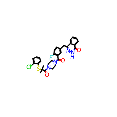 CC(C)(Sc1ccccc1Cl)C(=O)N1CCN(C(=O)c2cc(Cc3n[nH]c(=O)c4ccccc34)ccc2F)CC1